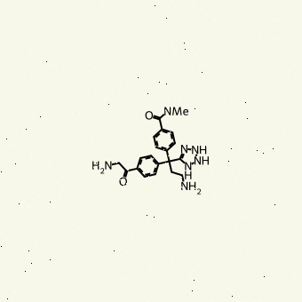 CNC(=O)c1ccc(C(CCN)(C2=NNNN2)c2ccc(C(=O)CN)cc2)cc1